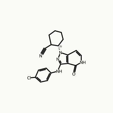 N#CC1CCCC[C@@H]1n1nc(Nc2ccc(Cl)cc2)c2c(=O)[nH]ccc21